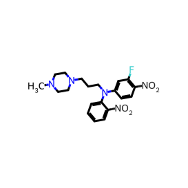 CN1CCN(CCCN(c2ccc([N+](=O)[O-])c(F)c2)c2ccccc2[N+](=O)[O-])CC1